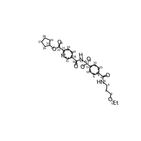 CCOCCCNC(=O)c1ccc(S(=O)(=O)NC(=O)c2ccc(C(=O)OC3CCCC3)nc2)cc1